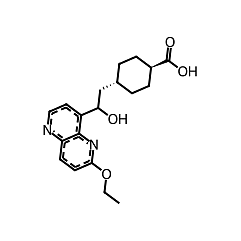 CCOc1ccc2nccc(C(O)C[C@H]3CC[C@H](C(=O)O)CC3)c2n1